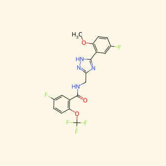 COc1ccc(F)cc1-c1nc(CNC(=O)c2cc(F)ccc2OC(F)(F)F)n[nH]1